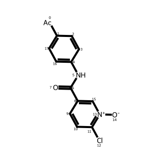 CC(=O)c1ccc(NC(=O)c2ccc(Cl)[n+]([O-])c2)cc1